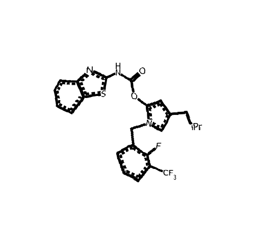 CC(C)Cc1cc(OC(=O)Nc2nc3ccccc3s2)n(Cc2cccc(C(F)(F)F)c2F)c1